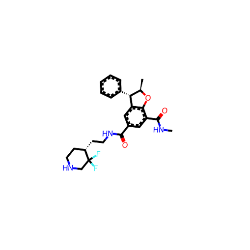 CNC(=O)c1cc(C(=O)NCC[C@H]2CCNCC2(F)F)cc2c1O[C@H](C)[C@H]2c1ccccc1